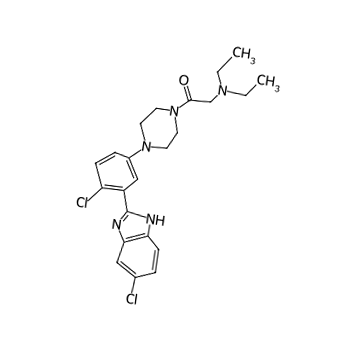 CCN(CC)CC(=O)N1CCN(c2ccc(Cl)c(-c3nc4cc(Cl)ccc4[nH]3)c2)CC1